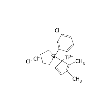 CC1=C(C)[C]([Ti+3])([Si]2(c3ccccc3)CCCC2)C=C1.[Cl-].[Cl-].[Cl-]